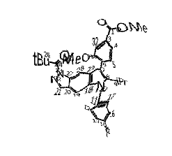 COC(=O)c1ccc(-c2c(C(C)C)n(-c3ccc(F)cc3)c3cc4cnn(C(=O)C(C)(C)C)c4cc23)c(OC)c1